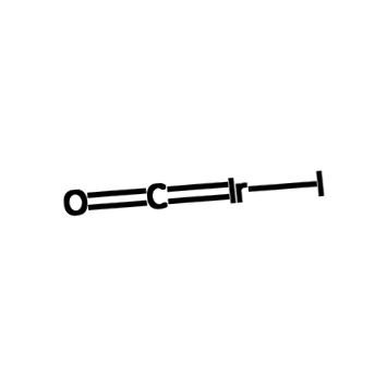 O=[C]=[Ir][I]